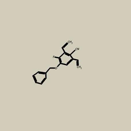 C=Cc1cc(OCc2ccccc2)c(F)c(C=C)c1C#N